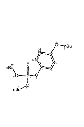 CCCCOc1ccc(OP(=S)(OCCCC)OCCCC)nn1